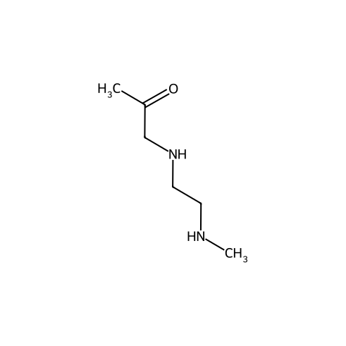 CNCCNCC(C)=O